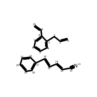 C=CCc1ccccc1C=C.N#CC=CC=Cc1ccccc1